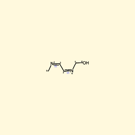 C/N=C\C=N/CO